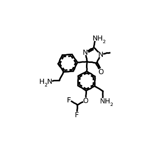 CN1C(=O)C(c2cccc(CN)c2)(c2ccc(OC(F)F)c(CN)c2)N=C1N